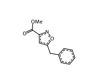 COC(=O)c1cc(Cc2ccccc2)on1